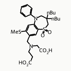 CCCCC1(CCCC)CN(c2ccccc2)c2cc(SC)c(CN(CCC(=O)O)CC(=O)O)cc2S(=O)(=O)C1